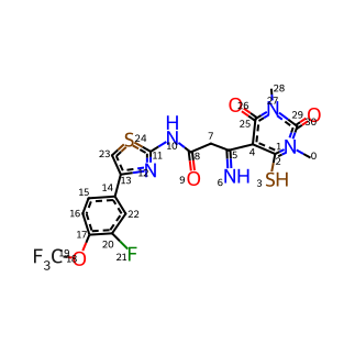 Cn1c(S)c(C(=N)CC(=O)Nc2nc(-c3ccc(OC(F)(F)F)c(F)c3)cs2)c(=O)n(C)c1=O